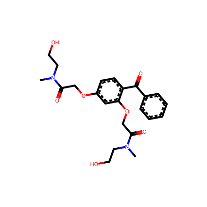 CN(CCO)C(=O)COc1ccc(C(=O)c2ccccc2)c(OCC(=O)N(C)CCO)c1